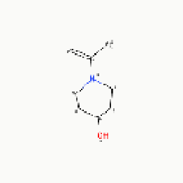 C=C(C(C)=O)N1CCC(O)CC1